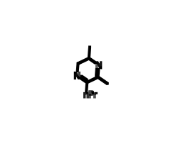 CCCC1=NCC(C)N=C1C